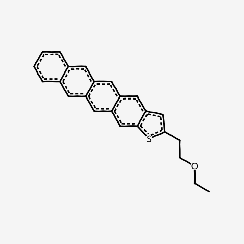 CCOCCc1cc2cc3cc4cc5ccccc5cc4cc3cc2s1